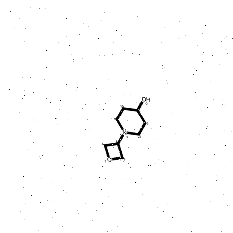 O[C]1CCN(C2COC2)CC1